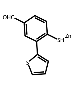 O=Cc1ccc(S)c(-c2cccs2)c1.[Zn]